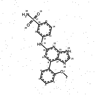 COc1ccccc1-c1nc(Nc2cccc(S(N)(=O)=O)c2)nc2[nH]cnc12